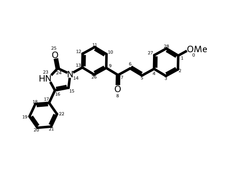 COc1ccc(/C=C/C(=O)c2cccc(-n3cc(-c4ccccc4)[nH]c3=O)c2)cc1